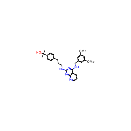 COc1cc(CNc2nc(NCCCc3ccc(C(C)(C)O)cc3)nc3ncccc23)cc(OC)c1